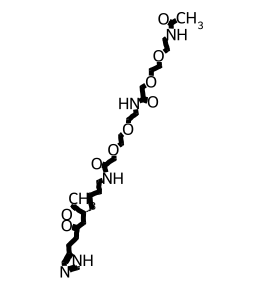 CC(=O)NCCOCCOCC(=O)NCCOCCOCC(=O)NCCCC[C@H](CC(=O)CCc1cnc[nH]1)C(C)=O